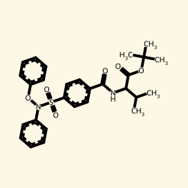 CC(C)C(NC(=O)c1ccc(S(=O)(=O)N(Oc2ccccc2)c2ccccc2)cc1)C(=O)OC(C)(C)C